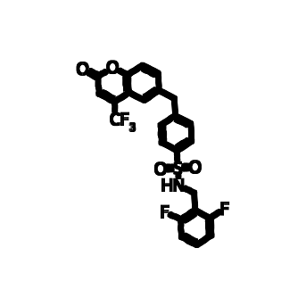 O=c1cc(C(F)(F)F)c2cc(Cc3ccc(S(=O)(=O)NCc4c(F)cccc4F)cc3)ccc2o1